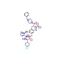 CCC(=O)NC(Cc1ccc(CNC(=O)C(NC(=O)c2ccnn2C(C)C)C2CCC(F)(F)CC2)cc1)C(=O)N1CCN(Cc2ccccc2)CC1